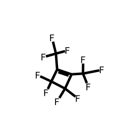 FC(F)(F)C1=C(C(F)(F)F)C(F)(F)C1(F)F